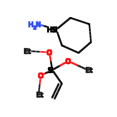 C=C[Si](OCC)(OCC)OCC.N[SiH]1CCCCC1